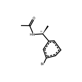 CC(=O)N[C@@H](C)c1cccc(Br)c1